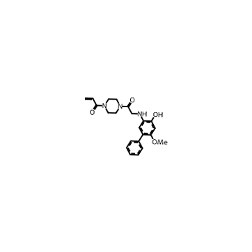 C=CC(=O)N1CCN(C(=O)CNc2cc(-c3ccccc3)c(OC)cc2O)CC1